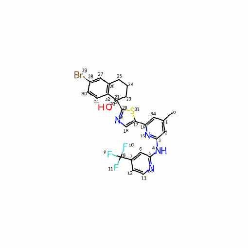 Cc1cc(Nc2cc(C(F)(F)F)ccn2)nc(-c2cnc([C@]3(O)CCCc4cc(Br)ccc43)s2)c1